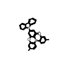 Cc1ccc2c(c1)Oc1cc(-n3c4ccccc4c4ccccc43)cc3c1B2c1ccc(C)cc1O3